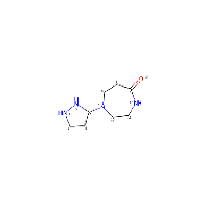 O=C1CCN(C2CCNN2)CCN1